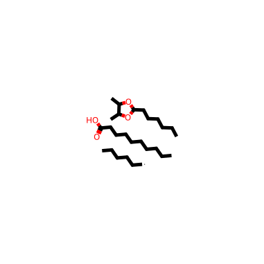 CCCCCCC1OC(C)C(C)O1.CCCCCCCCCC(=O)O.[CH2]CCCCC